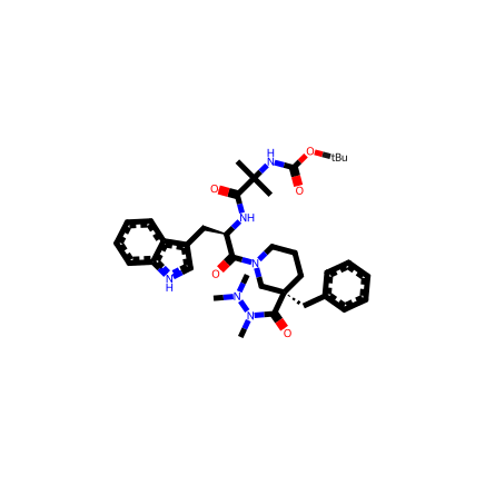 CN(C)N(C)C(=O)[C@]1(Cc2ccccc2)CCCN(C(=O)[C@@H](Cc2c[nH]c3ccccc23)NC(=O)C(C)(C)NC(=O)OC(C)(C)C)C1